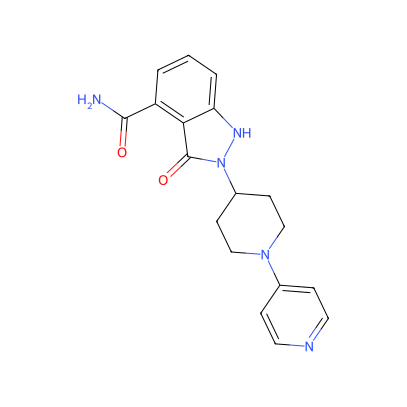 NC(=O)c1cccc2[nH]n(C3CCN(c4ccncc4)CC3)c(=O)c12